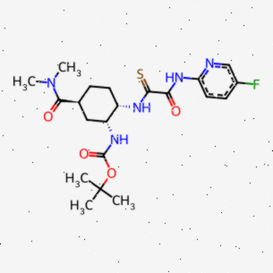 CN(C)C(=O)[C@H]1CC[C@H](NC(=S)C(=O)Nc2ccc(F)cn2)[C@H](NC(=O)OC(C)(C)C)C1